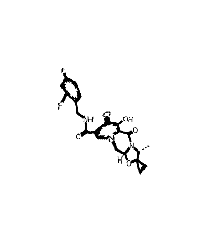 C[C@H]1N2C(=O)c3c(O)c(=O)c(C(=O)NCc4ccc(F)cc4F)cn3C[C@@H]2OC12CC2